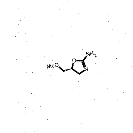 COC[C@@H]1CN=C(N)O1